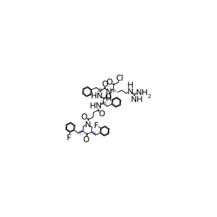 N=C(N)NCCC[C@H](NC(=O)[C@H](Cc1ccccc1)NC(=O)[C@@H](Cc1ccccc1)NC(=O)CCC(=O)N1C/C(=C\c2ccccc2F)C(=O)/C(=C/c2ccccc2F)C1)C(=O)CCl